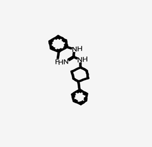 N=C(Nc1ccccc1F)NC1CCC(c2ccccc2)CC1